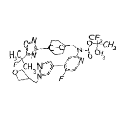 CC(C)(F)c1nc(C23CCC(CN(C(=O)OC(C)(C)C(F)(F)F)c4cc(-c5cnn(CC6COC6)c5)c(F)cn4)(CC2)CC3)no1